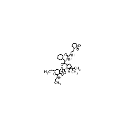 CCCCC(NC(=O)[C@@H]1[C@@H]2C(CN1C(=O)[C@@H](NC(=O)NCCN1CCCS1(=O)=O)C1CCCCC1)C2(C)C)C(=O)C(=O)NCC